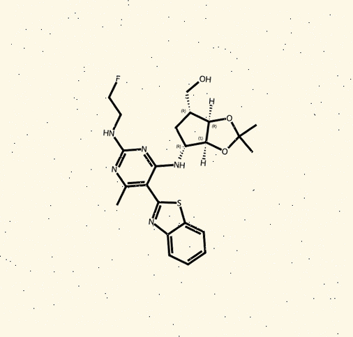 Cc1nc(NCCF)nc(N[C@@H]2C[C@H](CO)[C@H]3OC(C)(C)O[C@H]32)c1-c1nc2ccccc2s1